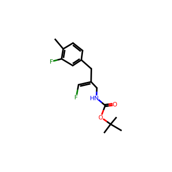 Cc1ccc(CC(=CF)CNC(=O)OC(C)(C)C)cc1F